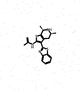 C=C(C)Nc1sc2c(c1-c1nc3ccccc3s1)C[C@H](C)N[C@@H]2C